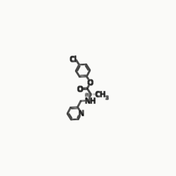 C[C@H](NCc1ccccn1)C(=O)Oc1ccc(Cl)cc1